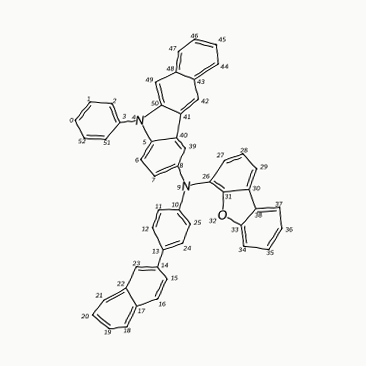 c1ccc(-n2c3ccc(N(c4ccc(-c5ccc6ccccc6c5)cc4)c4cccc5c4oc4ccccc45)cc3c3cc4ccccc4cc32)cc1